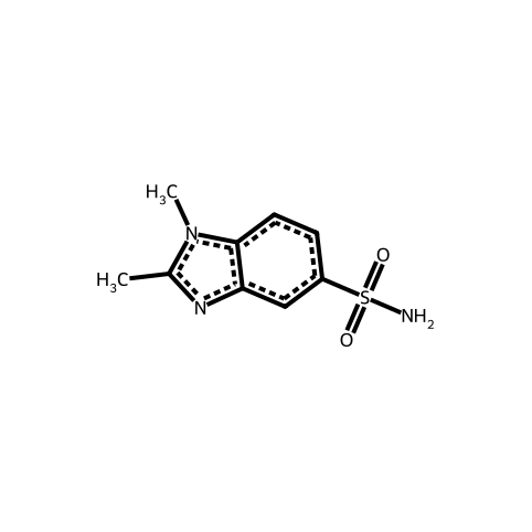 Cc1nc2cc(S(N)(=O)=O)ccc2n1C